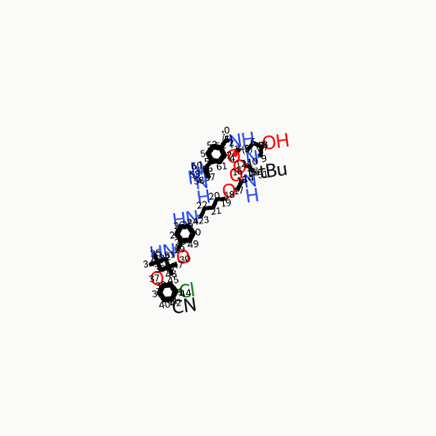 C[C@H](NC(=O)[C@@H]1C[C@@H](O)CN1C(=O)[C@@H](NC(=O)COCCCCCNc1ccc(C(=O)N[C@H]2C(C)(C)[C@H](Oc3ccc(C#N)c(Cl)c3)C2(C)C)cc1)C(C)(C)C)c1ccc(-c2c[nH]nn2)cc1